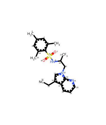 Cc1cc(C)c(S(=O)(=O)NC(Cn2cc(CC#N)c3cccnc32)C(F)(F)F)c(C)c1